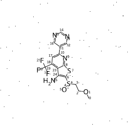 COCC[S+]([O-])c1sc2nc(-c3cncnc3)cc(C(F)(F)F)c2c1N